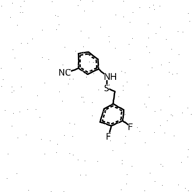 N#Cc1cccc(NSCc2ccc(F)c(F)c2)c1